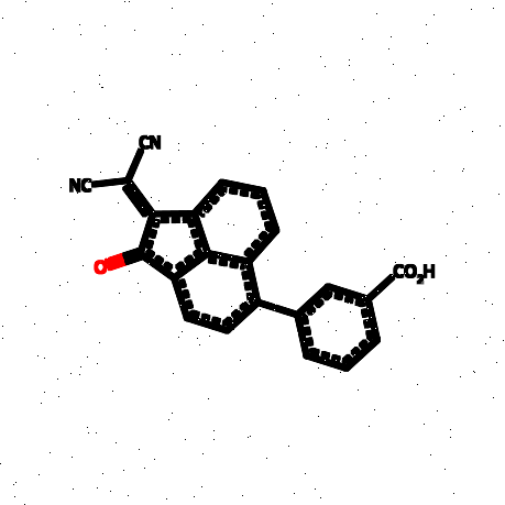 N#CC(C#N)=c1c(=O)c2ccc(-c3cccc(C(=O)O)c3)c3cccc1c32